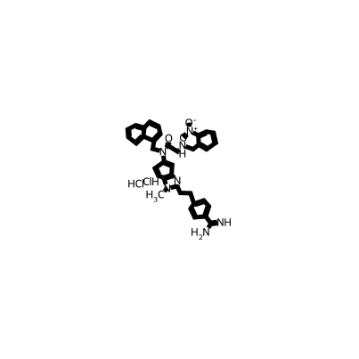 Cl.Cl.Cn1c(CCc2ccc(C(=N)N)cc2)nc2cc(N(Cc3cccc4ccccc34)C(=O)CNCc3ccccc3[N+](=O)[O-])ccc21